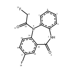 O=C1Nc2ccccc2N(C(=O)CF)c2ccc(F)cc21